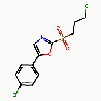 O=S(=O)(CCCCl)c1ncc(-c2ccc(Cl)cc2)o1